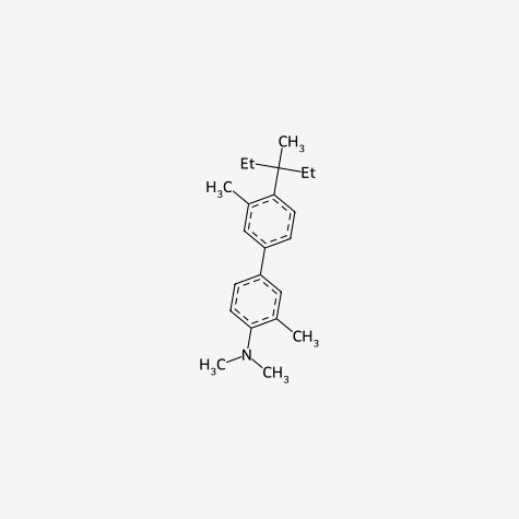 CCC(C)(CC)c1ccc(-c2ccc(N(C)C)c(C)c2)cc1C